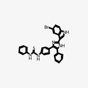 S=C(Nc1ccccc1)Nc1ccc(-c2nc(-c3c[nH]c4ccc(Br)cc34)[nH]c2-c2ccccc2)cc1